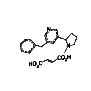 CN1CCCC1c1cncc(Cc2ccccc2)c1.O=C(O)C=CC(=O)O